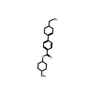 CCCCC1CCC(OC(=O)c2ccc(C3=CCC(CC(C)CC)CC3)cc2)CC1